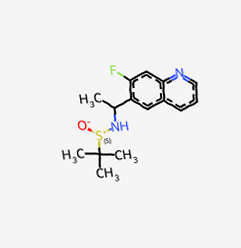 CC(N[S@+]([O-])C(C)(C)C)c1cc2cccnc2cc1F